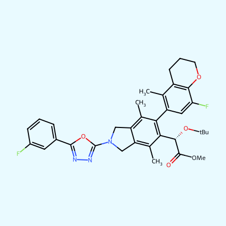 COC(=O)[C@@H](OC(C)(C)C)c1c(C)c2c(c(C)c1-c1cc(F)c3c(c1C)CCCO3)CN(c1nnc(-c3cccc(F)c3)o1)C2